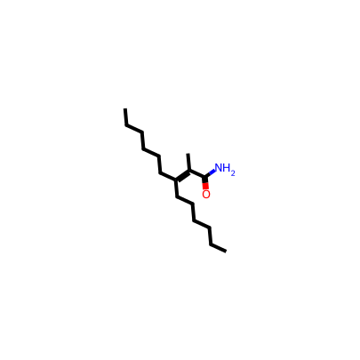 CCCCCCC(CCCCCC)=C(C)C(N)=O